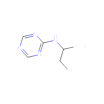 CC(C)CC(Nc1ncncn1)C(=O)O